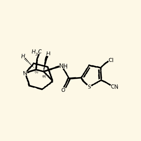 C[C@H]1[C@H](NC(=O)c2cc(Cl)c(C#N)s2)C2CCN1CC2